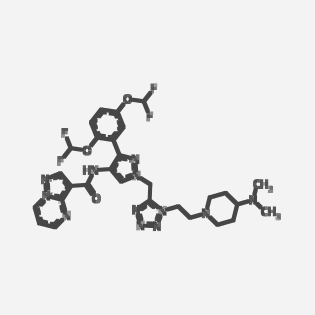 CN(C)C1CCN(CCn2nnnc2Cn2cc(NC(=O)c3cnn4cccnc34)c(-c3cc(OC(F)F)ccc3OC(F)F)n2)CC1